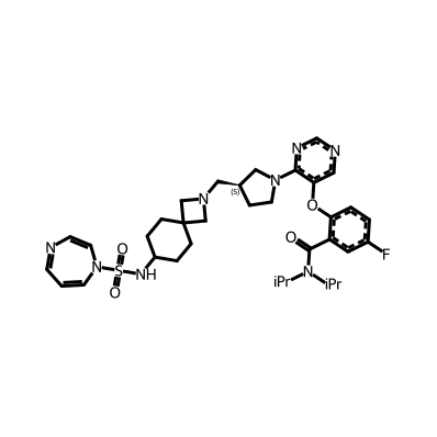 CC(C)N(C(=O)c1cc(F)ccc1Oc1cncnc1N1CC[C@@H](CN2CC3(CCC(NS(=O)(=O)N4C=CC=NC=C4)CC3)C2)C1)C(C)C